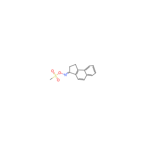 CS(=O)(=O)O/N=C1\CCc2c1ccc1ccccc21